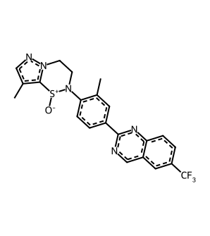 Cc1cc(-c2ncc3cc(C(F)(F)F)ccc3n2)ccc1N1CCn2ncc(C)c2[S+]1[O-]